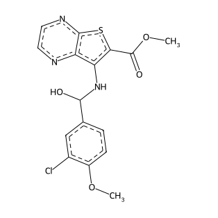 COC(=O)c1sc2nccnc2c1NC(O)c1ccc(OC)c(Cl)c1